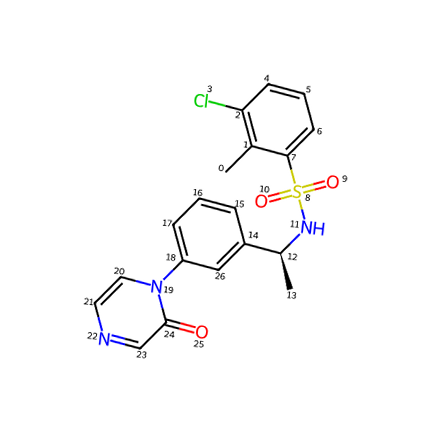 Cc1c(Cl)cccc1S(=O)(=O)N[C@@H](C)c1cccc(-n2ccncc2=O)c1